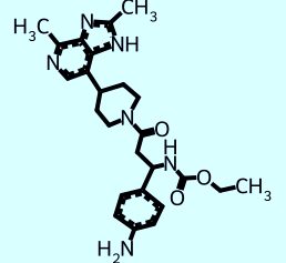 CCOC(=O)NC(CC(=O)N1CCC(c2cnc(C)c3nc(C)[nH]c23)CC1)c1ccc(N)cc1